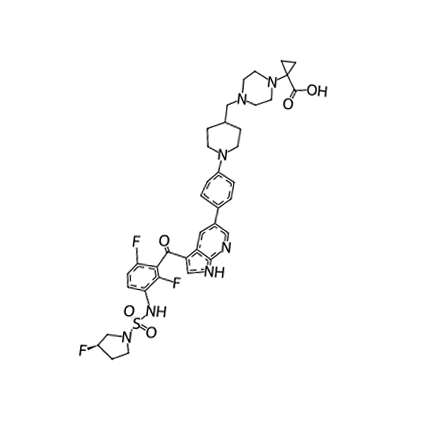 O=C(c1c(F)ccc(NS(=O)(=O)N2CC[C@@H](F)C2)c1F)c1c[nH]c2ncc(-c3ccc(N4CCC(CN5CCN(C6(C(=O)O)CC6)CC5)CC4)cc3)cc12